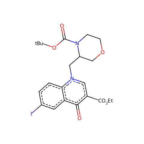 CCOC(=O)c1cn(CC2COCCN2C(=O)OC(C)(C)C)c2ccc(I)cc2c1=O